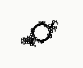 C/C=C/[C@H](O[Si](C)(C)C(C)(C)C)C(C)(C)[C@@H]1C/C=C\C2CC/C2=C\C=C/c2nc(co2)C(=O)O[C@H](C(C)(C)[C@@H](O)/C=C/C)C/C=C\[C@H]2C[C@H]2/C=C/C=C\c2nc(co2)C(=O)O1